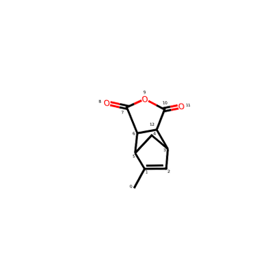 CC1=CC2CC1C1C(=O)OC(=O)C21